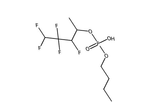 CCCCOP(=O)(O)OC(C)C(F)C(F)(F)C(F)F